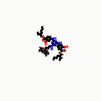 CCCCC(CC)COC(=O)c1ccc(Nc2nc(NCCC[Si](C)(O[Si](C)(C)C)O[Si](C)(C)C)nc(Nc3ccc(C(=O)OCC(CC)CCCC)c(O)c3)n2)cc1O